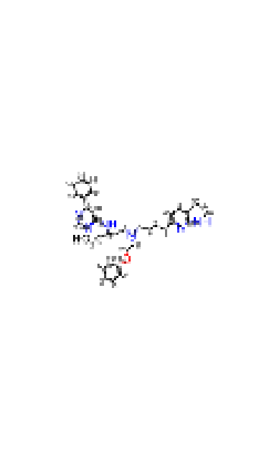 O=C(O)[C@H](CCN(CCCCc1ccc2c(n1)NCCC2)CCOc1ccccc1)Nc1cc(-c2ccccc2)ncn1